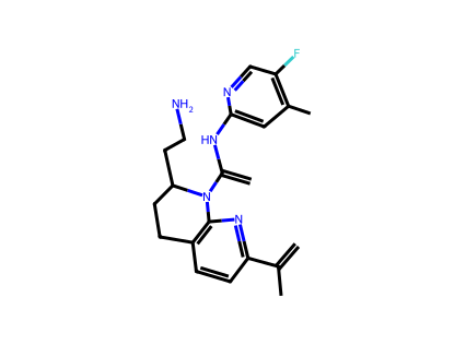 C=C(C)c1ccc2c(n1)N(C(=C)Nc1cc(C)c(F)cn1)C(CCN)CC2